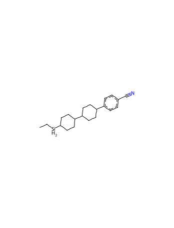 CC[SiH2]C1CCC(C2CCC(c3ccc(C#N)cc3)CC2)CC1